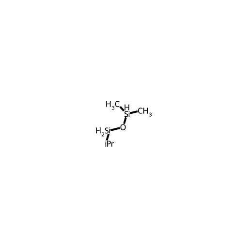 CC(C)[SiH2]O[SiH](C)C